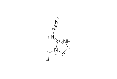 CCN1[CH]CNC1=NC#N